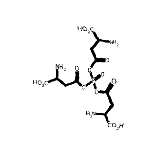 NC(CC(=O)OP(=O)(OC(=O)CC(N)C(=O)O)OC(=O)CC(N)C(=O)O)C(=O)O